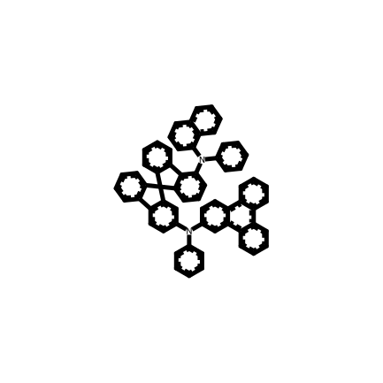 c1ccc(N(c2ccc3c(c2)C2(c4ccccc4-3)c3ccccc3-c3c(N(c4ccccc4)c4cccc5ccccc45)cccc32)c2ccc3c4ccccc4c4ccccc4c3c2)cc1